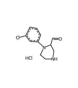 Cl.O=CC1CNCCN1c1cccc(Cl)c1